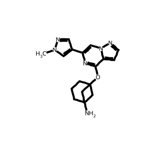 Cn1cc(-c2cn3nccc3c(OC34CCCC(N)(C3)C4)n2)cn1